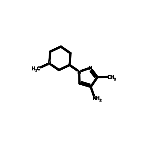 Cc1nn(C2CCCN(C)C2)cc1N